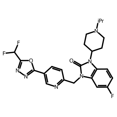 CC(C)N1CCC(n2c(=O)n(Cc3ccc(-c4nnc(C(F)F)o4)cn3)c3cc(F)ccc32)CC1